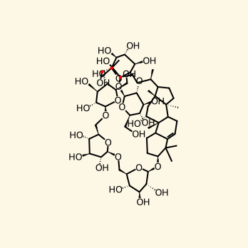 C[C@H](CC[C@@H](O[C@@H]1O[C@H](CO)[C@@H](O)[C@H](O)[C@H]1O[C@@H]1O[C@H](CO)[C@@H](O)[C@H](O)[C@H]1O)C(C)(C)O)C1CC[C@@]2(C)C3CC=C4C(CC[C@H](O[C@@H]5O[C@H](CO[C@@H]6O[C@H](CO[C@@H]7O[C@H](CO)[C@@H](O)[C@H](O)[C@H]7O)[C@@H](O)[C@H](O)[C@H]6O)[C@@H](O)[C@H](O)[C@H]5O)C4(C)C)[C@]3(C)[C@H](O)C[C@]12C